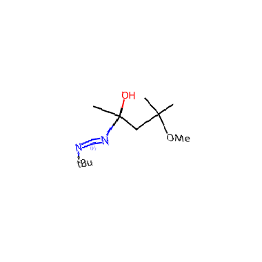 COC(C)(C)CC(C)(O)/N=N/C(C)(C)C